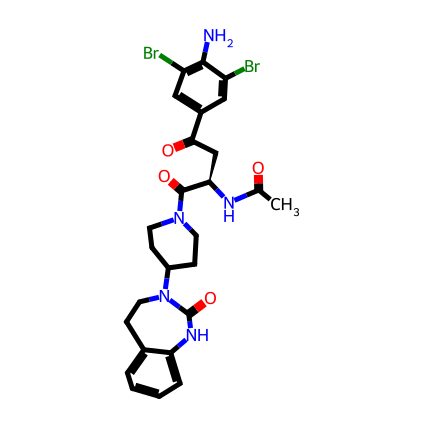 CC(=O)N[C@H](CC(=O)c1cc(Br)c(N)c(Br)c1)C(=O)N1CCC(N2CCc3ccccc3NC2=O)CC1